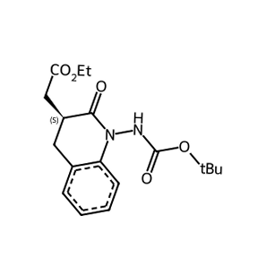 CCOC(=O)C[C@@H]1Cc2ccccc2N(NC(=O)OC(C)(C)C)C1=O